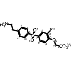 NCCc1ccc(S(=O)(=O)c2ccc(OCC(=O)O)c(F)c2)cc1